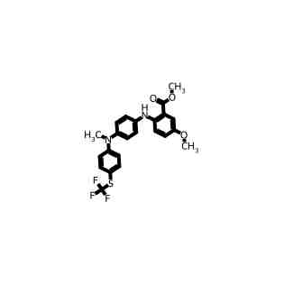 COC(=O)c1cc(OC)ccc1Nc1ccc(N(C)c2ccc(SC(F)(F)F)cc2)cc1